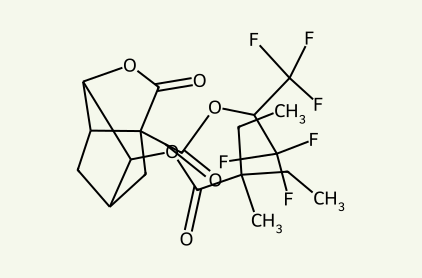 CCC(C)(CC)C(=O)OC1C2CC3C1OC(=O)C3(C(=O)OC(C(F)(F)F)C(F)(F)F)C2